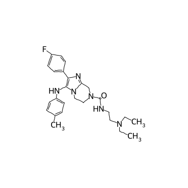 CCN(CC)CCNC(=O)N1CCn2c(nc(-c3ccc(F)cc3)c2Nc2ccc(C)cc2)C1